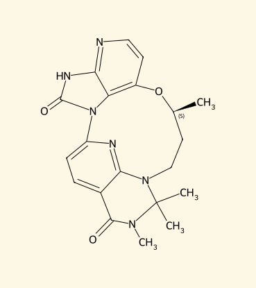 C[C@H]1CCN2c3nc(ccc3C(=O)N(C)C2(C)C)-n2c(=O)[nH]c3nccc(c32)O1